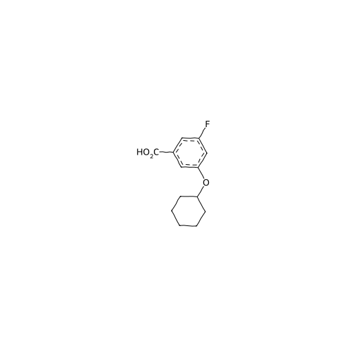 O=C(O)c1cc(F)cc(OC2CCCCC2)c1